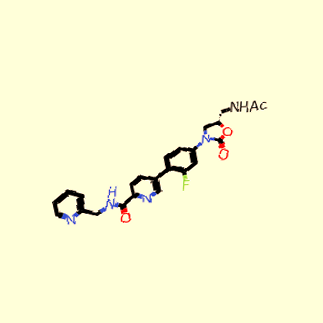 CC(=O)NC[C@H]1CN(c2ccc(-c3ccc(C(=O)NCc4ccccn4)nc3)c(F)c2)C(=O)O1